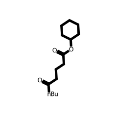 CCCCC(=O)CCCC(=O)OC1CCCCC1